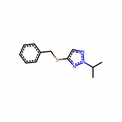 CC(C)n1ncc(SCc2ccccc2)n1